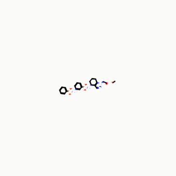 CCOC(=O)Cn1ncc2c1CCCC2NS(=O)(=O)c1cccc(NS(=O)(=O)c2ccccc2)c1